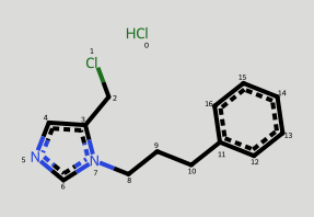 Cl.ClCc1cncn1CCCc1ccccc1